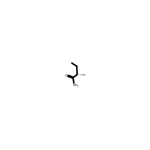 C[CH][C@H](C)C(N)=O